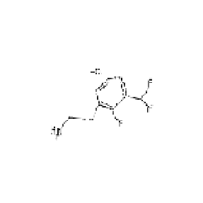 Cl.NCCc1cccc(C(F)F)c1F